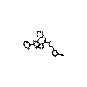 C#Cc1cccc(CCN(C)C(=O)c2csc3nc(-c4ccccn4)nc(N4CCOCC4)c23)c1